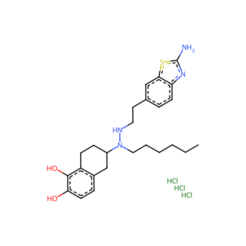 CCCCCCN(NCCc1ccc2nc(N)sc2c1)C1CCc2c(ccc(O)c2O)C1.Cl.Cl.Cl